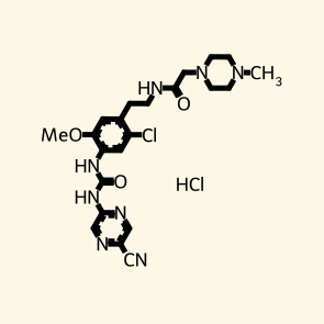 COc1cc(CCNC(=O)CN2CCN(C)CC2)c(Cl)cc1NC(=O)Nc1cnc(C#N)cn1.Cl